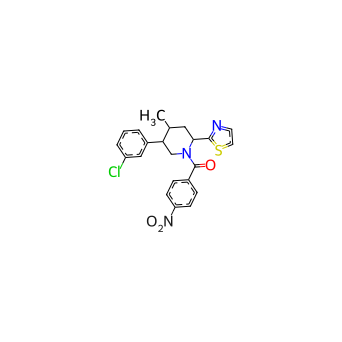 CC1CC(c2nccs2)N(C(=O)c2ccc([N+](=O)[O-])cc2)CC1c1cccc(Cl)c1